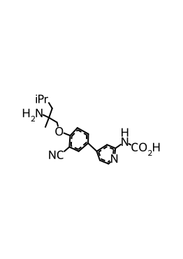 CC(C)CC(C)(N)COc1ccc(-c2ccnc(NC(=O)O)c2)cc1C#N